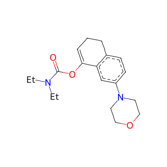 CCN(CC)C(=O)OC1=CCCc2ccc(N3CCOCC3)cc21